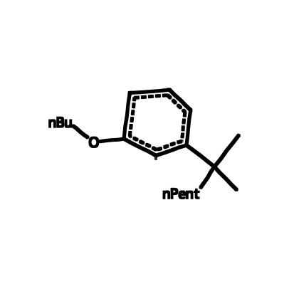 CCCCCC(C)(C)c1[c]c(OCCCC)ccc1